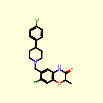 CC1Oc2cc(F)c(CN3CCC(c4ccc(Cl)cc4)CC3)cc2NC1=O